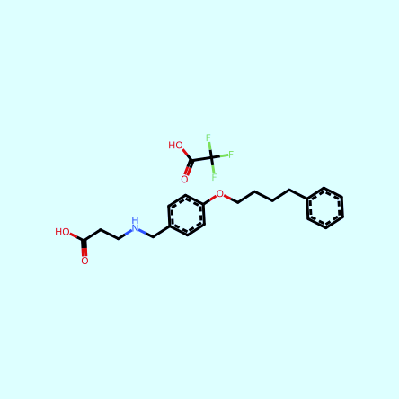 O=C(O)C(F)(F)F.O=C(O)CCNCc1ccc(OCCCCc2ccccc2)cc1